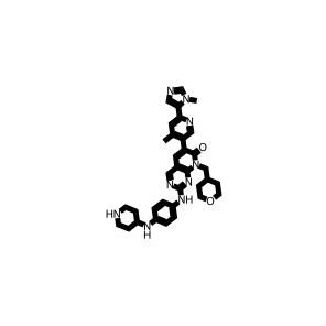 Cc1cc(-c2cncn2C)ncc1-c1cc2cnc(Nc3ccc(NC4CCNCC4)cc3)nc2n(CC2CCOCC2)c1=O